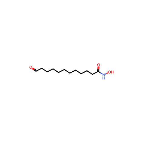 O=[C]CCCCCCCCCCC(=O)NO